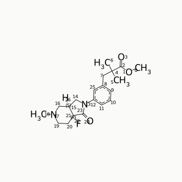 COC(=O)C(C)(C)Cc1cccc(N2C[C@@H]3CN(C)CC[C@]3(F)C2=O)c1